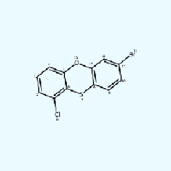 Clc1cccc2c1Sc1ccc(Br)cc1O2